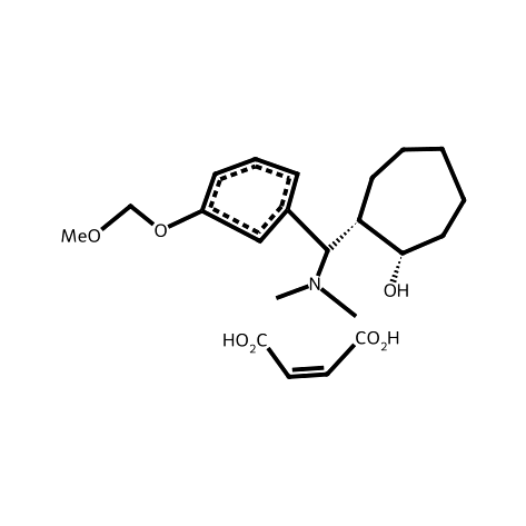 COCOc1cccc(C([C@@H]2CCCCC[C@@H]2O)N(C)C)c1.O=C(O)/C=C\C(=O)O